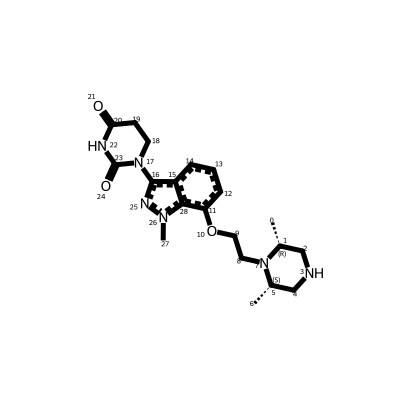 C[C@@H]1CNC[C@H](C)N1CCOc1cccc2c(N3CCC(=O)NC3=O)nn(C)c12